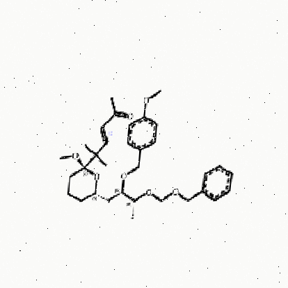 COc1ccc(CO[C@H](C[C@@H]2CCC[C@](OC)(C(C)(C)/C=C/C(C)=O)O2)[C@@H](C)OCOCc2ccccc2)cc1